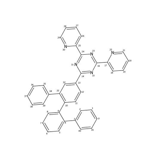 c1ccc(-c2ccccc2-c2ccc(-c3nc(-c4ccccn4)nc(-c4ccccn4)n3)cc2-c2ccccc2)cc1